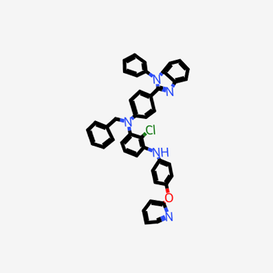 Clc1c(Nc2ccc(Oc3ccccn3)cc2)cccc1N(Cc1ccccc1)c1ccc(-c2nc3ccccc3n2-c2ccccc2)cc1